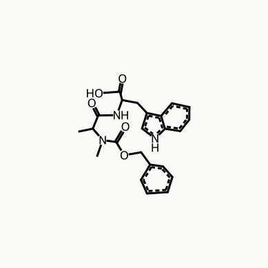 CC(C(=O)NC(Cc1c[nH]c2ccccc12)C(=O)O)N(C)C(=O)OCc1ccccc1